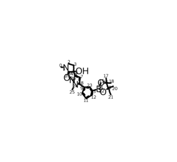 CN1CCC(O)(c2cc(-c3cccc(B4OC(C)(C)C(C)(C)O4)c3)n(C)n2)C1=O